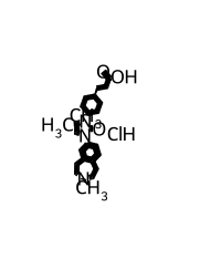 CN1CCc2ccc(N3CC(C)(C)N([C@H]4CC[C@H](CCC(=O)O)CC4)C3=O)cc2CC1.Cl